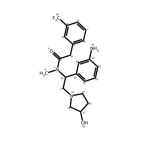 CN(C(=O)Cc1cccc(C(F)(F)F)c1)C(CN1CCC(O)C1)c1cccc(N)c1